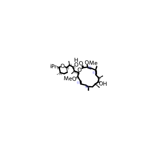 CO/C1=C\C(C)=C\[C@@H](C)[C@@H](O)[C@@H](C)C/C(C)=C/C=C/[C@H](OC)[C@@H]([C@@H](C)[C@@H](O)[C@H](C)[C@H]2CC[C@H](C)[C@@H](C(C)C)O2)OC1=O